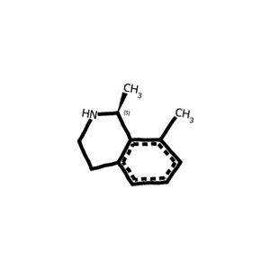 Cc1cccc2c1[C@H](C)NCC2